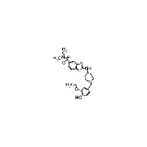 CCOc1cc(CN2CCC(Nc3nc4cc(S(=O)(=O)N(C)C)ccc4o3)CC2)ccc1O